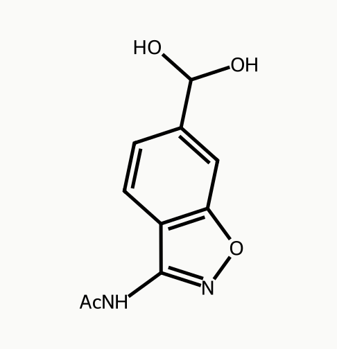 CC(=O)Nc1noc2cc(C(O)O)ccc12